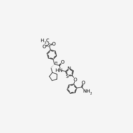 CS(=O)(=O)c1ccc([C@@H](CC2CCCC2)C(=O)Nc2ncc(Oc3ccccc3C(N)=O)s2)cc1